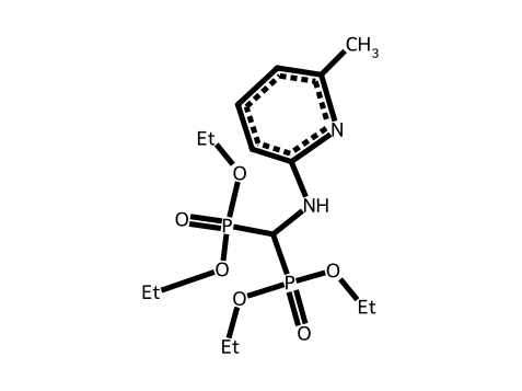 CCOP(=O)(OCC)C(Nc1cccc(C)n1)P(=O)(OCC)OCC